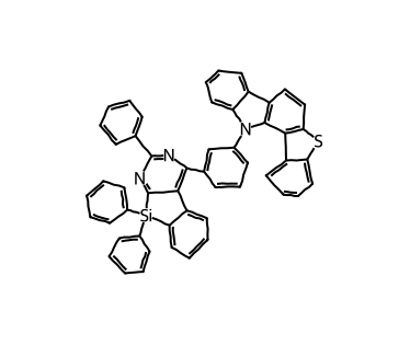 c1ccc(-c2nc(-c3cccc(-n4c5ccccc5c5ccc6sc7ccccc7c6c54)c3)c3c(n2)[Si](c2ccccc2)(c2ccccc2)c2ccccc2-3)cc1